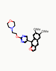 COc1cc2cc3ccoc3c(-c3cnc(OCCN4CCOCC4)nc3)c2cc1OC